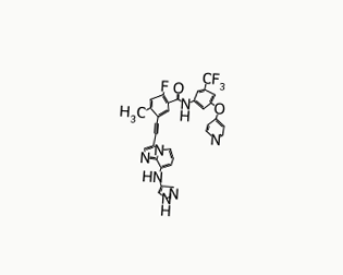 Cc1cc(F)c(C(=O)Nc2cc(Oc3ccncc3)cc(C(F)(F)F)c2)cc1C#Cc1cnc2c(Nc3cn[nH]c3)cccn12